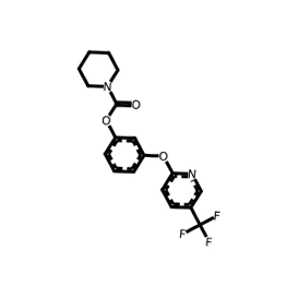 O=C(Oc1cccc(Oc2ccc(C(F)(F)F)cn2)c1)N1CCCCC1